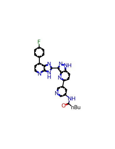 CCCCC(=O)Nc1cncc(-c2ccc3[nH]nc(-c4nc5c(-c6ccc(F)cc6)ccnc5[nH]4)c3n2)c1